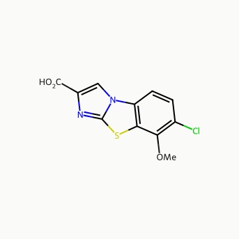 COc1c(Cl)ccc2c1sc1nc(C(=O)O)cn12